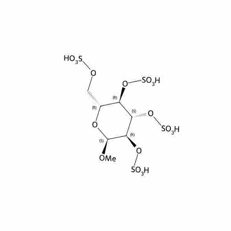 CO[C@H]1O[C@H](COS(=O)(=O)O)[C@@H](OS(=O)(=O)O)[C@H](OS(=O)(=O)O)[C@H]1OS(=O)(=O)O